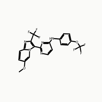 COc1ccc2nc(C(F)(F)F)c(-c3nccc(Nc4ccc(OC(F)(F)F)cc4)n3)n2c1